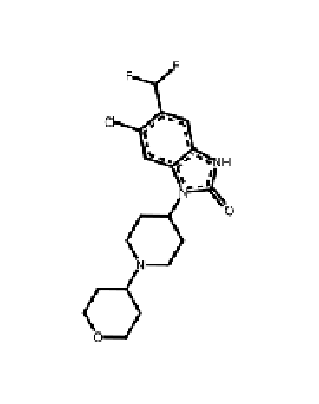 O=c1[nH]c2cc(C(F)F)c(Cl)cc2n1C1CCN(C2CCOCC2)CC1